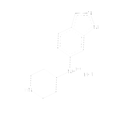 Cl.Cl.c1cc2cn[nH]c2cc1NC1CCNCC1